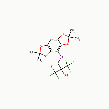 CC1(C)Oc2cc3c(c(PCC(O)(C(F)(F)F)C(F)(F)F)c2O1)OC(C)(C)O3